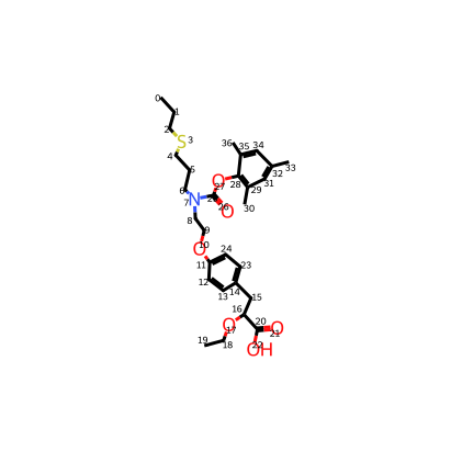 CCCSCCCN(CCOc1ccc(CC(OCC)C(=O)O)cc1)C(=O)Oc1c(C)cc(C)cc1C